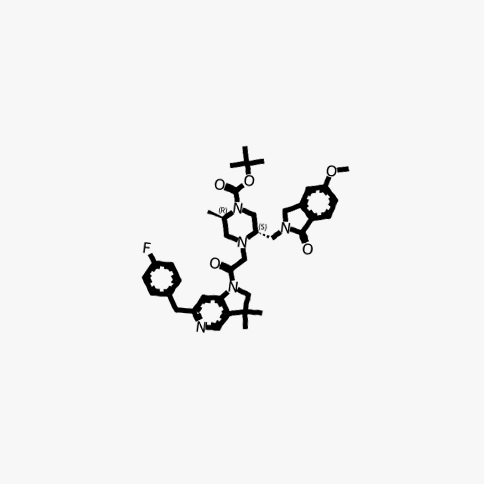 COc1ccc2c(c1)CN(C[C@H]1CN(C(=O)OC(C)(C)C)[C@H](C)CN1CC(=O)N1CC(C)(C)c3cnc(Cc4ccc(F)cc4)cc31)C2=O